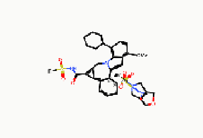 COc1ccc(C2CCCCC2)c2c1cc1n2CC2=C(C(=O)NS(=O)(=O)C(C)C)C2=C2C=CC[C@@H](C(=O)N3CC45COCC4(C3)CN(S(=O)(=O)C(C)C)C5)[C@@H]21